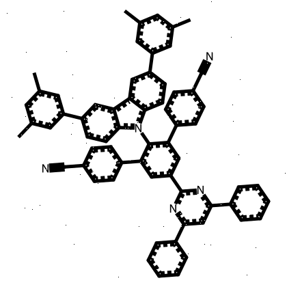 Cc1cc(C)cc(-c2ccc3c(c2)c2cc(-c4cc(C)cc(C)c4)ccc2n3-c2c(-c3ccc(C#N)cc3)cc(-c3nc(-c4ccccc4)cc(-c4ccccc4)n3)cc2-c2ccc(C#N)cc2)c1